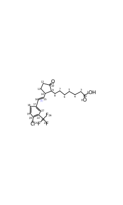 O=C(O)CCCCCCC1C(=O)CCC1/C=C/c1ccc(Cl)c(C(F)(F)F)c1